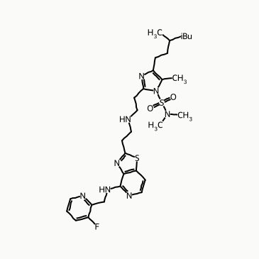 CCC(C)C(C)CCc1nc(CCNCCc2nc3c(NCc4ncccc4F)nccc3s2)n(S(=O)(=O)N(C)C)c1C